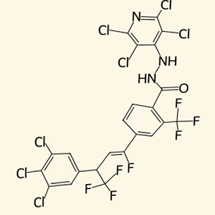 O=C(NNc1c(Cl)c(Cl)nc(Cl)c1Cl)c1ccc(C(F)=CC(c2cc(Cl)c(Cl)c(Cl)c2)C(F)(F)F)cc1C(F)(F)F